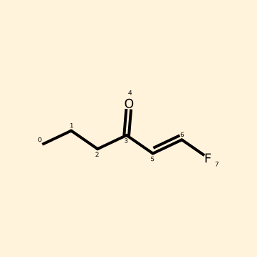 CCCC(=O)C=CF